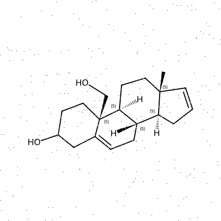 C[C@@]12C=CC[C@H]1[C@@H]1CC=C3CC(O)CC[C@]3(CO)[C@H]1CC2